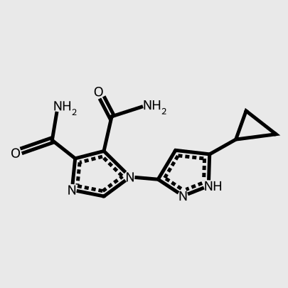 NC(=O)c1ncn(-c2cc(C3CC3)[nH]n2)c1C(N)=O